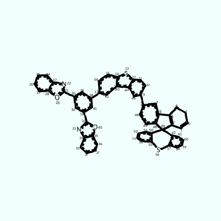 C1=CC2=C(CC1)c1cc(-c3ccc4sc5ccc(-c6cc(-c7nc8ccccc8o7)cc(-c7nc8ccccc8o7)c6)cc5c4c3)ccc1C21c2ccccc2Sc2ccccc21